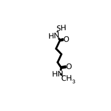 CNC(=O)CCCC(=O)NS